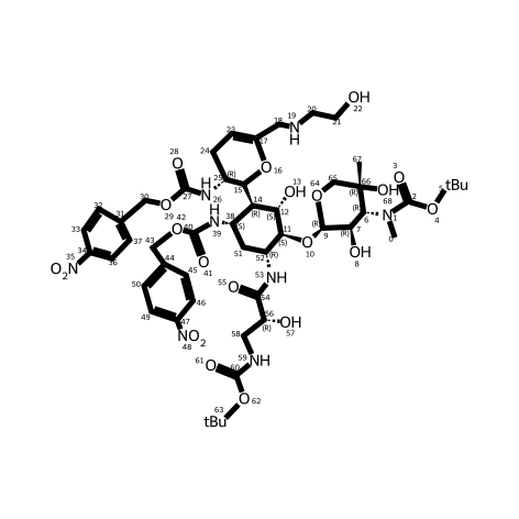 CN(C(=O)OC(C)(C)C)[C@@H]1[C@@H](O)[C@@H](O[C@@H]2[C@@H](O)[C@H](C3OC(CNCCO)=CC[C@H]3NC(=O)OCc3ccc([N+](=O)[O-])cc3)[C@@H](NC(=O)OCc3ccc([N+](=O)[O-])cc3)C[C@H]2NC(=O)[C@H](O)CNC(=O)OC(C)(C)C)OC[C@]1(C)O